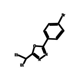 CCC(CC)c1nnc(-c2ccc(Br)cc2)o1